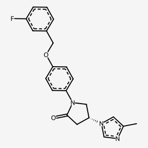 Cc1cn([C@@H]2CC(=O)N(c3ccc(OCc4cccc(F)c4)cc3)C2)cn1